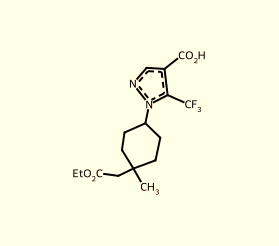 CCOC(=O)CC1(C)CCC(n2ncc(C(=O)O)c2C(F)(F)F)CC1